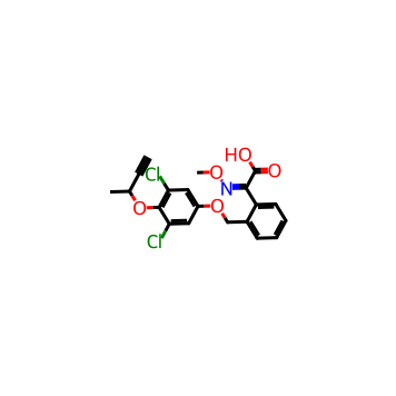 C#CC(C)Oc1c(Cl)cc(OCc2ccccc2C(=NOC)C(=O)O)cc1Cl